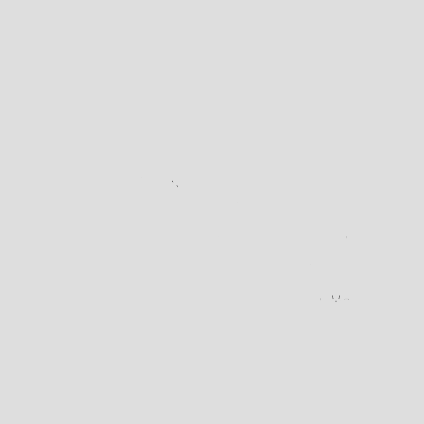 COC(=O)c1ccc(CN2CCCc3ccccc32)cc1